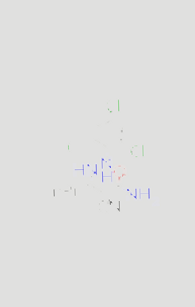 CCCC(NNc1c(Cl)cc(Cl)cc1Cl)=C(C#N)C(N)=O